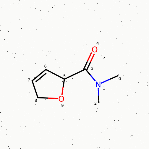 CN(C)C(=O)C1C=CCO1